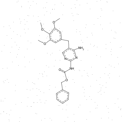 COc1cc(Cc2cnc(NC(=O)OCc3ccccc3)nc2N)cc(OC)c1OC